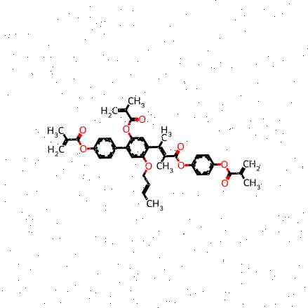 C=C(C)C(=O)Oc1ccc(OC(=O)/C(C)=C(\C)c2cc(OC(=O)C(=C)C)c(-c3ccc(OC(=O)C(=C)C)cc3)cc2OC/C=C/C)cc1